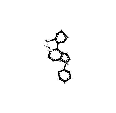 Cc1ccccc1-c1c2ccn(-c3ccccc3)c2cc[n+]1C